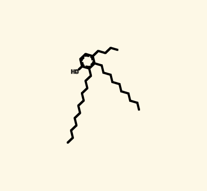 CCCCCCCCCCCCc1c(O)ccc(CCCC)c1CCCCCCCCCC